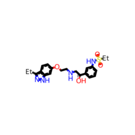 CCc1n[nH]c2cc(OCCNC[C@H](O)c3cccc(NS(=O)(=O)CC)c3)ccc12